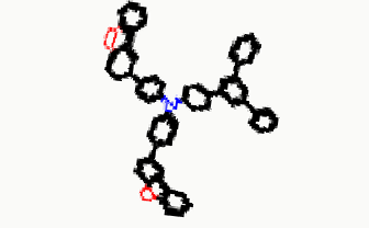 C1=C(c2cc(-c3ccccc3)cc(-c3ccccc3)c2)CCC(N(c2ccc(-c3ccc4oc5ccccc5c4c3)cc2)c2ccc(C3C=c4c(oc5ccccc45)=CC3)cc2)=C1